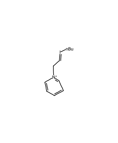 CCCCI=CC[n+]1ccccc1